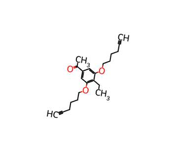 C#CCCCCOc1cc(C(C)=O)cc(OCCCCC#C)c1CC